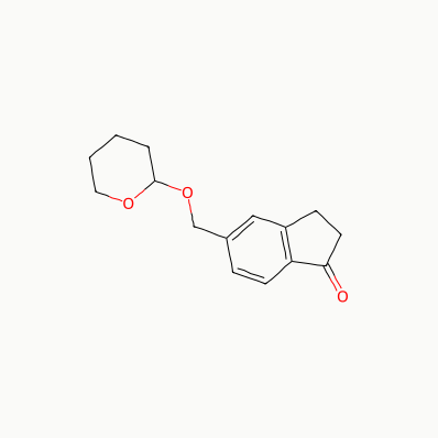 O=C1CCc2cc(COC3CCCCO3)ccc21